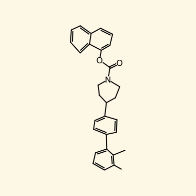 Cc1cccc(-c2ccc(C3CCN(C(=O)Oc4cccc5ccccc45)CC3)cc2)c1C